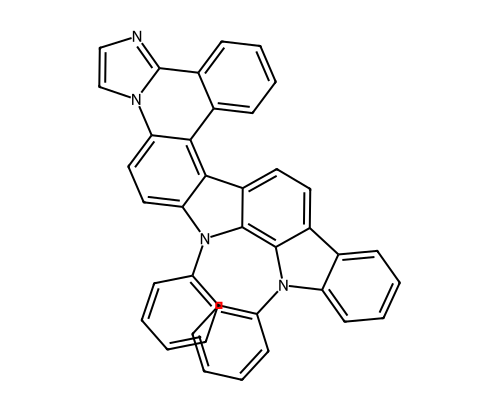 c1ccc(-n2c3ccccc3c3ccc4c5c6c7ccccc7c7nccn7c6ccc5n(-c5ccccc5)c4c32)cc1